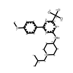 COc1ccc(-c2nc(NC3CCN(CC(C)C)CC3)nc(C(Cl)(Cl)Cl)n2)cc1